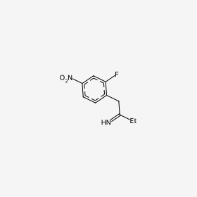 CCC(=N)Cc1ccc([N+](=O)[O-])cc1F